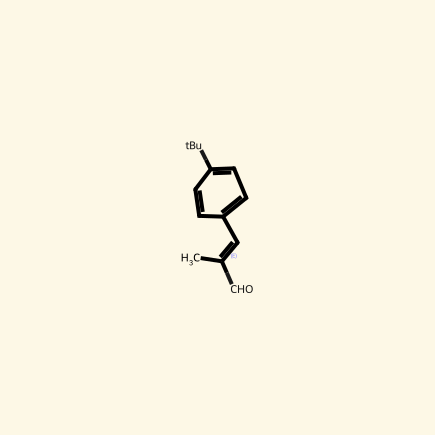 C/C(C=O)=C\c1ccc(C(C)(C)C)cc1